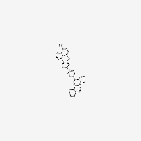 N#Cc1ccc2c3c(cccc13)-c1ccc(-c3ccc(-c4cc5c6ccccc6ccc5c5ccccc45)cc3)cc1O2